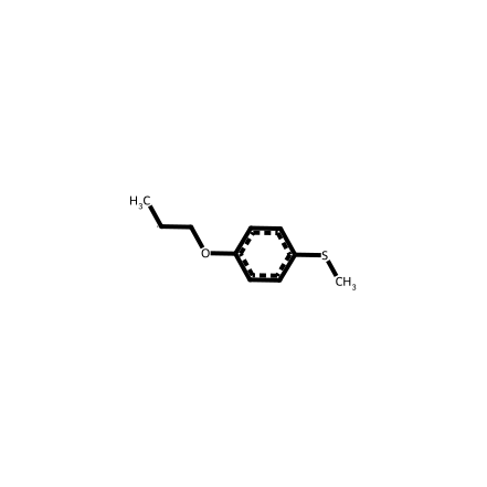 C[CH]COc1ccc(SC)cc1